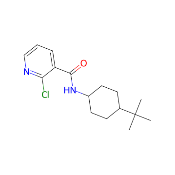 CC(C)(C)C1CCC(NC(=O)c2cccnc2Cl)CC1